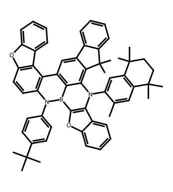 Cc1cc2c(cc1N1c3c4c(cc5c3C(C)(C)c3ccccc3-5)-c3c(ccc5oc6ccccc6c35)N(c3ccc(C(C)(C)C)cc3)B4c3oc4ccccc4c31)C(C)(C)CCC2(C)C